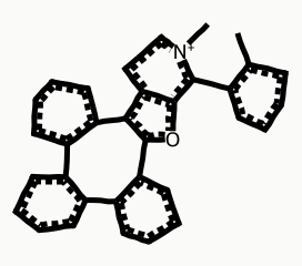 Cc1ccccc1-c1c2oc3c(c2cc[n+]1C)-c1ccccc1-c1ccccc1-c1ccccc1-3